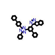 c1ccc(-c2ccc(-c3nc(-c4ccccc4)nc(-c4cc(-c5ccccc5)cc(-c5ncnc6c5Cc5ccccc5-6)c4)n3)cc2)cc1